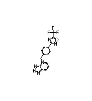 FC(F)(F)c1nc(-c2ccc(Cn3cccc4nnnc3-4)cc2)no1